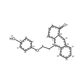 O=c1cccc2n(CCOc3ccc(O)cc3)c3ccccc3cc1-2